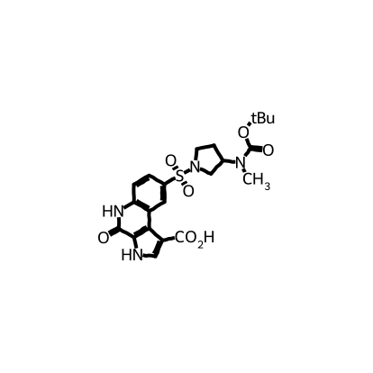 CN(C(=O)OC(C)(C)C)C1CCN(S(=O)(=O)c2ccc3[nH]c(=O)c4[nH]cc(C(=O)O)c4c3c2)C1